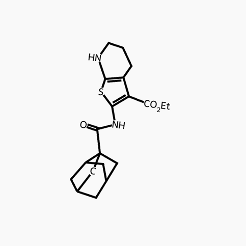 CCOC(=O)c1c(NC(=O)C23CC4CC(CC2C4)C3)sc2c1CCCN2